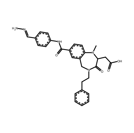 CN1c2ccc(C(=O)Nc3ccc(C=NN)cc3)cc2CN(CCc2ccccc2)C(=O)C1CC(=O)O